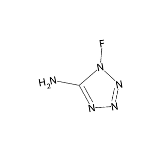 Nc1nnnn1F